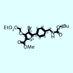 CCOC(=O)COc1c(C(=O)OC)sc(-c2ccc(CNC(=O)OC(C)(C)C)cc2)c1Br